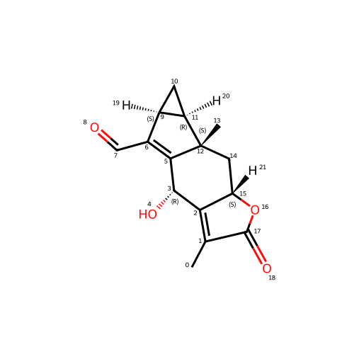 CC1=C2[C@H](O)C3=C(C=O)[C@H]4C[C@H]4[C@]3(C)C[C@@H]2OC1=O